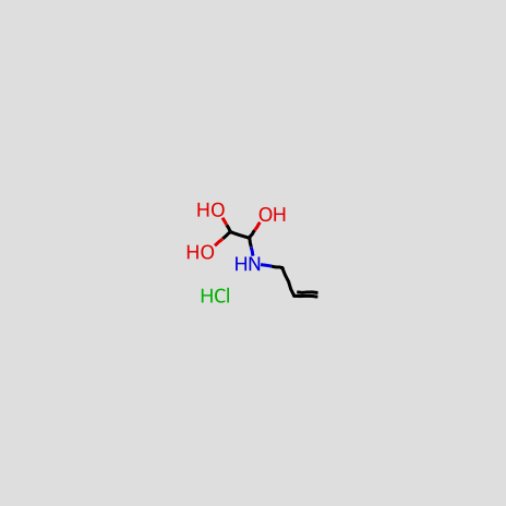 C=CCNC(O)C(O)O.Cl